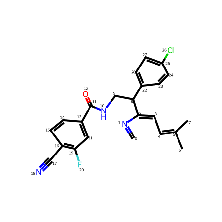 C=N/C(=C\C=C(C)C)C(CNC(=O)c1ccc(C#N)c(F)c1)c1ccc(Cl)cc1